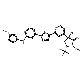 CN1C(=O)[C@@](O)(c2ccnc(-c3csc(-c4ccnc(Nc5ccn(C)n5)n4)n3)c2)C[C@H]1C(F)(F)F